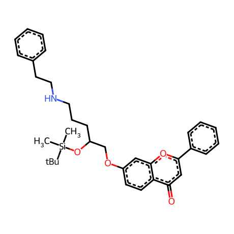 CC(C)(C)[Si](C)(C)OC(CCCNCCc1ccccc1)COc1ccc2c(=O)cc(-c3ccccc3)oc2c1